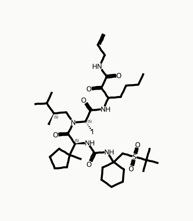 C=CCNC(=O)C(=O)C(CCCC)NC(=O)[C@H](I)N(C[C@@H](C)C(C)C)C(=O)[C@@H](NC(=O)NC1(CS(=O)(=O)C(C)(C)C)CCCCC1)C1(C)CCCC1